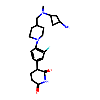 CN(CC1CCN(c2ccc(C3CCC(=O)NC3=O)cc2F)CC1)C1CC(N)C1